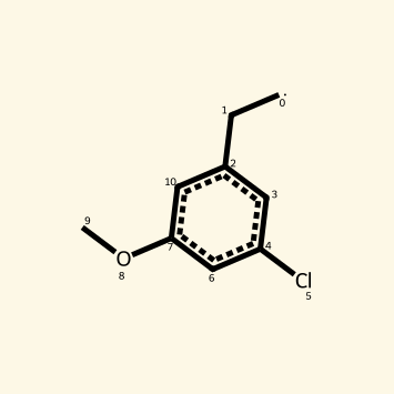 [CH2]Cc1cc(Cl)cc(OC)c1